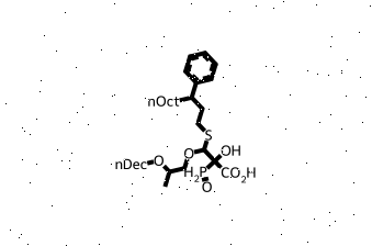 CCCCCCCCCCOC(C)COC(SCCC(CCCCCCCC)c1ccccc1)C(O)([PH2]=O)C(=O)O